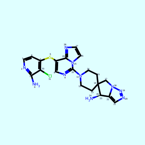 Nc1nccc(Sc2cnc(N3CCC4(CC3)Cn3nncc3[C@H]4N)n3ccnc23)c1Cl